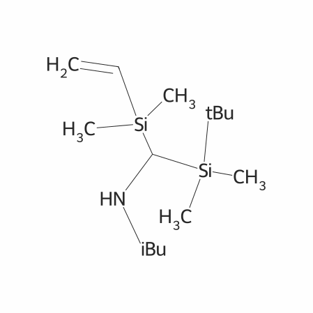 C=C[Si](C)(C)C(NC(C)CC)[Si](C)(C)C(C)(C)C